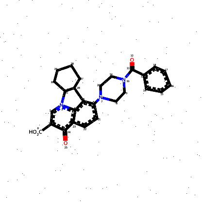 O=C(O)c1cn2c3c(c(N4CCN(C(=O)c5ccccc5)CC4)ccc3c1=O)C1CCCCC12